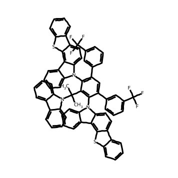 CC(C)(c1c(-n2c3ccccc3c3c4sc5ccccc5c4ccc32)c(-c2cccc(C(F)(F)F)c2)cc(-c2cccc(C(F)(F)F)c2)c1-n1c2ccccc2c2c3sc4ccccc4c3ccc21)n1c2ccccc2c2ccccc21